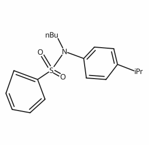 CCCCN(c1ccc(C(C)C)cc1)S(=O)(=O)c1ccccc1